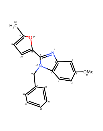 COc1ccc2c(c1)nc(-c1ccc(C)o1)n2Cc1ccccc1